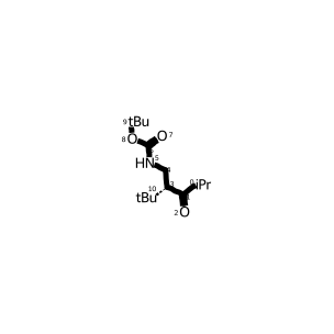 CC(C)C(=O)[C@@H](CNC(=O)OC(C)(C)C)C(C)(C)C